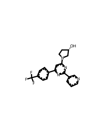 O[C@H]1CCN(c2cc(-c3ccc(C(F)(F)F)cc3)nc(-c3cccnc3)n2)C1